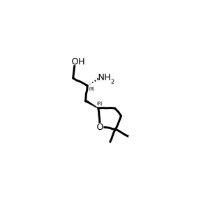 CC1(C)CC[C@H](C[C@@H](N)CO)O1